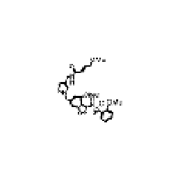 COC/C=C/C(=O)NCc1cnn(Cc2cc(OC)c3c(NS(=O)(=O)c4ccccc4OC)noc3c2)c1